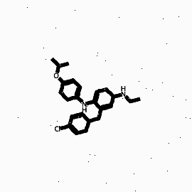 CCNC1C=C(CC2C=CC(Cl)=CC2)C(NC2=CC=C(OC(C)C)CC2)=CC1